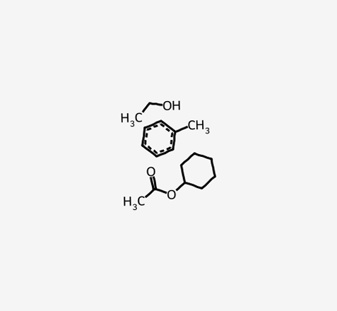 CC(=O)OC1CCCCC1.CCO.Cc1ccccc1